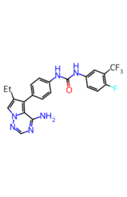 [CH2]Cc1cn2ncnc(N)c2c1-c1ccc(NC(=O)Nc2ccc(F)c(C(F)(F)F)c2)cc1